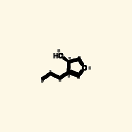 CCCC1=COC[C@@H]1O